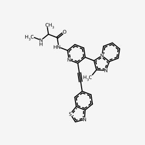 CNC(C)C(=O)Nc1ccc(-c2c(C)nc3ccccn23)c(C#Cc2ccc3ncsc3c2)n1